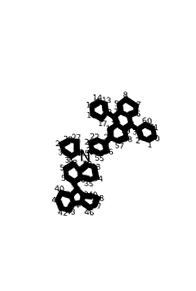 c1ccc(-c2c3ccccc3c(-c3ccccc3)c3cc(-c4ccc(N(c5ccccc5)c5cccc6c(C7c8ccccc8-c8ccccc87)cccc56)cc4)ccc23)cc1